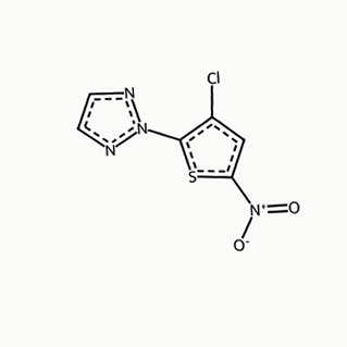 O=[N+]([O-])c1cc(Cl)c(-n2nccn2)s1